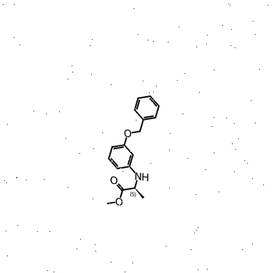 COC(=O)[C@H](C)Nc1cccc(OCc2ccccc2)c1